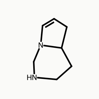 C1=CN2CNCCC2C1